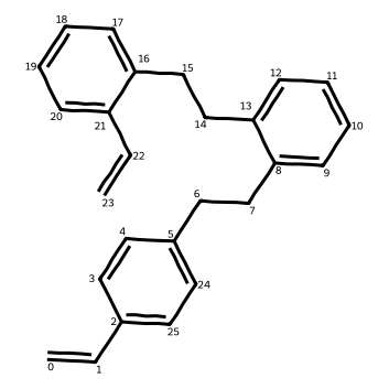 C=Cc1ccc(CCc2ccccc2CCc2ccccc2C=C)cc1